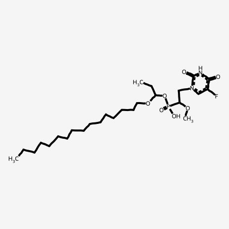 CCCCCCCCCCCCCCCCOC(CC)OP(=O)(O)C(Cn1cc(F)c(=O)[nH]c1=O)OC